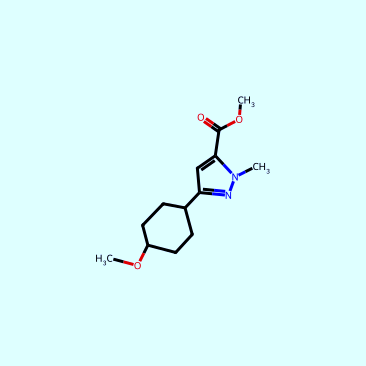 COC(=O)c1cc(C2CCC(OC)CC2)nn1C